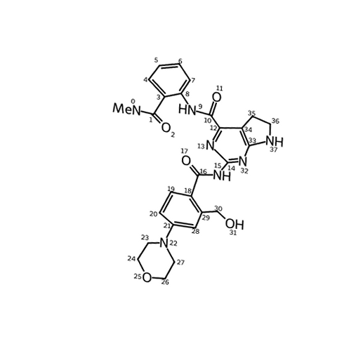 CNC(=O)c1ccccc1NC(=O)c1nc(NC(=O)c2ccc(N3CCOCC3)cc2CO)nc2c1CCN2